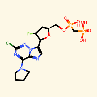 O=P(O)(O)CP(=O)(O)OC[C@@H]1C[C@H](F)C(c2cnc3c(N4CCCC4)nc(Cl)nn23)O1